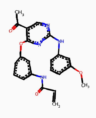 C=CC(=O)Nc1cccc(Oc2nc(Nc3cccc(OC)c3)ncc2C(C)=O)c1